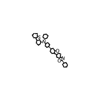 c1ccc(-c2nc3cc4oc5cc(-c6ccc(N(c7ccccc7)c7cccc8c7sc7ccccc78)cc6)ccc5c4cc3o2)cc1